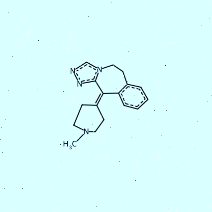 CN1CCC(=C2c3ccccc3CCn3cnnc32)CC1